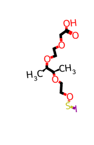 C[C@@H](OCCOCC(=O)O)[C@@H](C)OCCOSI